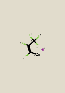 F[C]([Zn])=C(F)C(F)(F)F.I